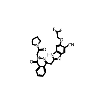 N#Cc1cc2nc(Cc3nn(CC(=O)N4CCCC4)c(=O)c4ccccc34)[nH]c2cc1OCC(F)F